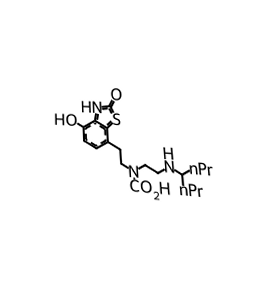 CCCC(CCC)NCCN(CCc1ccc(O)c2[nH]c(=O)sc12)C(=O)O